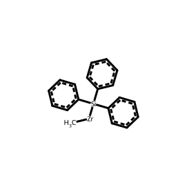 [CH3][Zr][Si](c1ccccc1)(c1ccccc1)c1ccccc1